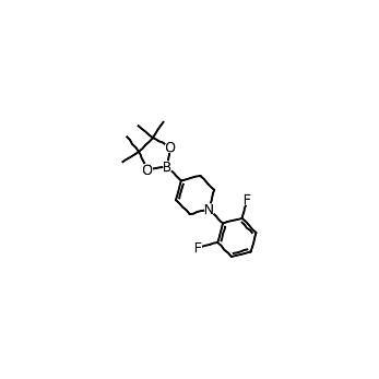 CC1(C)OB(C2=CCN(c3c(F)cccc3F)CC2)OC1(C)C